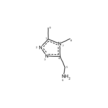 Cc1nnc(CN)n1C